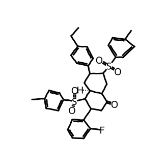 CCc1ccc(C2C[C@H]3C(CC2S(=O)(=O)c2ccc(C)cc2)C(=O)CC(c2ccccc2F)C3S(=O)(=O)c2ccc(C)cc2)cc1